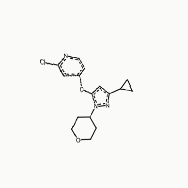 Clc1cc(Oc2cc(C3CC3)nn2C2CCOCC2)ccn1